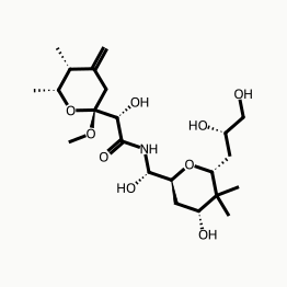 C=C1C[C@](OC)([C@H](O)C(=O)N[C@@H](O)[C@@H]2C[C@@H](O)C(C)(C)[C@@H](C[C@H](O)CO)O2)O[C@H](C)[C@@H]1C